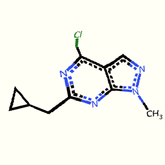 Cn1ncc2c(Cl)nc(CC3CC3)nc21